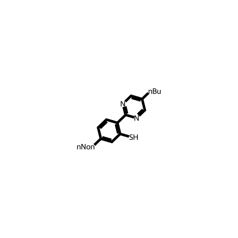 CCCCCCCCCc1ccc(-c2ncc(CCCC)cn2)c(S)c1